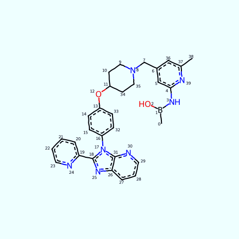 CB(O)Nc1cc(CN2CCC(Oc3ccc(-n4c(-c5ccccn5)nc5cccnc54)cc3)CC2)cc(C)n1